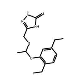 CCc1ccc(CC)c(OC(C)SCc2n[nH]c(=S)[nH]2)c1